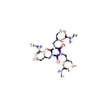 CCNC(=S)OC(CS)Cn1c(=O)n(CC(CS)OC(=S)NCC)c(=O)n(CC(CS)OC(=S)NCC)c1=O